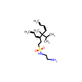 C=C/C=C\C(C)(/C(=C\C=C)CCS(=O)(=O)NCCN)C(C)C